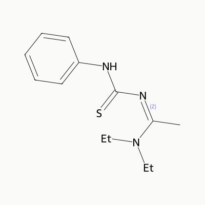 CCN(CC)/C(C)=N\C(=S)Nc1ccccc1